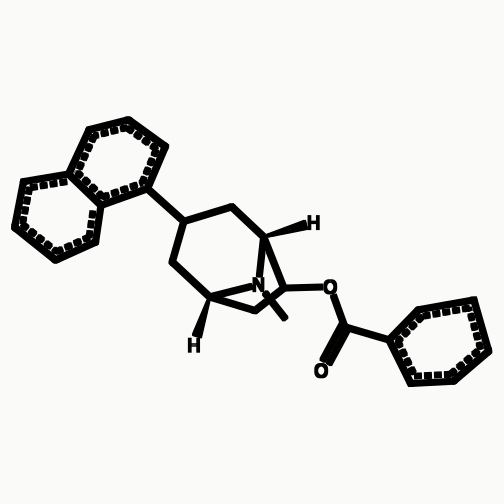 CN1[C@H]2CC(c3cccc4ccccc34)C[C@@H]1C(OC(=O)c1ccccc1)C2